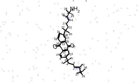 C/C(=C\CCC(C)(C)c1ccc2c(c1)C(=O)c1cc(C(C)(C)CC/C=C(\C)C(C)(C)N)ccc1C2=O)C(C)(C)C